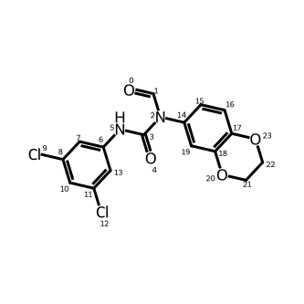 O=CN(C(=O)Nc1cc(Cl)cc(Cl)c1)c1ccc2c(c1)OCCO2